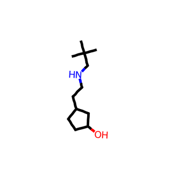 CC(C)(C)CNCCC1CCC(O)C1